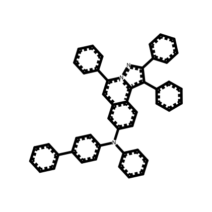 c1ccc(-c2ccc(N(c3ccccc3)c3ccc4c(c3)cc(-c3ccccc3)n3nc(-c5ccccc5)c(-c5ccccc5)c43)cc2)cc1